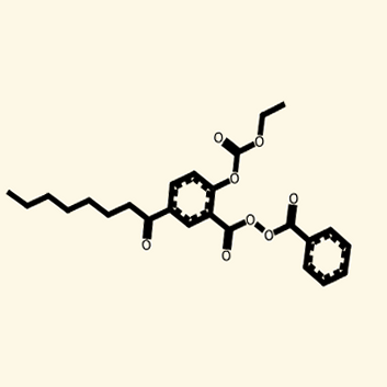 CCCCCCCC(=O)c1ccc(OC(=O)OCC)c(C(=O)OOC(=O)c2ccccc2)c1